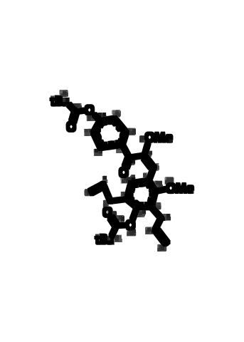 C=CCc1cc(C=C(OC)C(=O)c2ccc(OC(=O)C(C)(C)C)cc2)c(OC)c(CC=C)c1OC(=O)C(C)(C)C